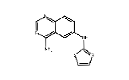 Nc1ncnc2ccc(Nc3nccs3)cc12